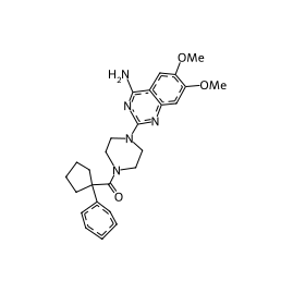 COc1cc2nc(N3CCN(C(=O)C4(c5ccccc5)CCCC4)CC3)nc(N)c2cc1OC